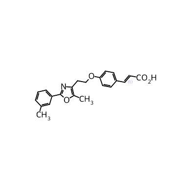 Cc1cccc(-c2nc(CCOc3ccc(/C=C/C(=O)O)cc3)c(C)o2)c1